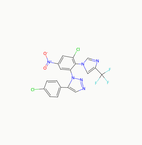 O=[N+]([O-])c1cc(Cl)c(-n2cnc(C(F)(F)F)c2)c(-n2nncc2-c2ccc(Cl)cc2)c1